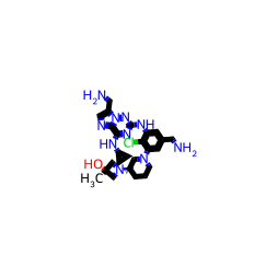 CC1(O)CN([C@@H]2CCCN(c3cc(CN)cc(Nc4nc(NC5CC5)c5ncc(CN)n5n4)c3Cl)C2)C1